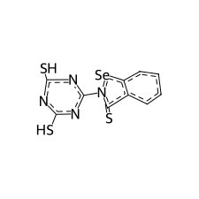 S=c1c2ccccc2[se]n1-c1nc(S)nc(S)n1